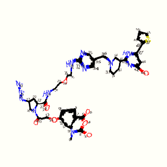 Cn1c(=O)oc(=O)c2ccc(OCC(=O)N3CC(N=[N+]=[N-])C[C@H]3C(=O)NCCOCCNc3ncc(CN4CCCC(c5nc(=O)cc(-c6cccs6)[nH]5)C4)cn3)cc21